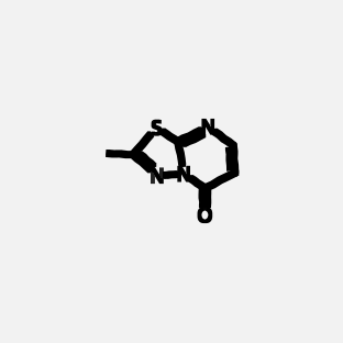 Cc1nn2c(=O)ccnc2s1